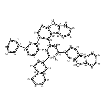 c1ccc(-c2cccc(-c3ccc4oc5ncccc5c4c3-c3nc(-c4ccc5ccccc5c4)nc(-c4ccc5c(c4)oc4ccccc45)n3)c2)cc1